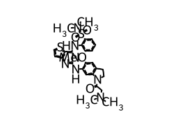 COc1cc2c(cc1Nc1nc(Nc3ccccc3S(=O)(=O)N(C)C)c3sccc3n1)N(C(=O)CN(C)C)CC2